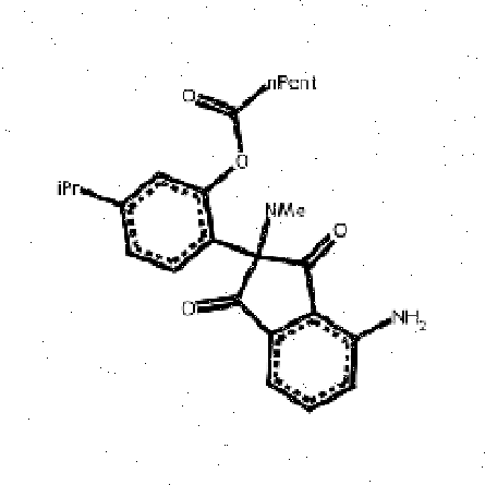 CCCCCC(=O)Oc1cc(C(C)C)ccc1C1(NC)C(=O)c2cccc(N)c2C1=O